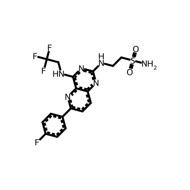 NS(=O)(=O)CCNc1nc(NCC(F)(F)F)c2nc(-c3ccc(F)cc3)ccc2n1